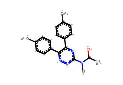 CCN(c1nnc(-c2ccc(OC)cc2)c(-c2ccc(OC)cc2)n1)C(C)O